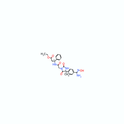 CCOC(=O)C[C@H](NC(=O)CN1C(=O)N[C@@](C)(c2ccc(C(N)=NO)cc2)C1=O)c1ccccc1